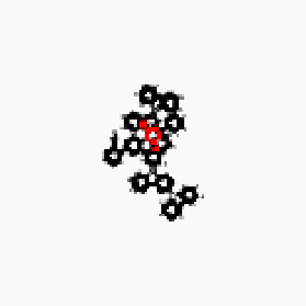 N#Cc1ccccc1-c1ccc(-n2c3ccccc3c3cc(-n4c5ccccc5c5ccccc54)ccc32)c(-c2cc(-n3c4ccccc4c4cc(-n5c6ccccc6c6ccccc65)ccc43)ccc2-c2nc(-c3ccccc3)nc(-c3ccccc3)n2)c1